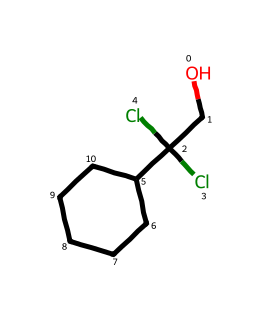 OCC(Cl)(Cl)C1CCCCC1